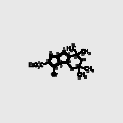 CCOC(=O)c1nc2sc3c(n2c1Br)CC(C)(C)CC3(C)C